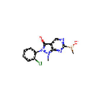 Cn1c2nc([S+](C)[O-])ncc2c(=O)n1-c1ccccc1Cl